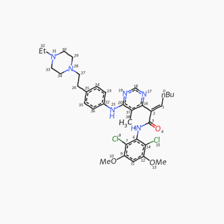 CCCC/C=C(/C(=O)Nc1c(Cl)c(OC)cc(OC)c1Cl)c1ncnc(Nc2ccc(CCN3CCN(CC)CC3)cc2)c1C